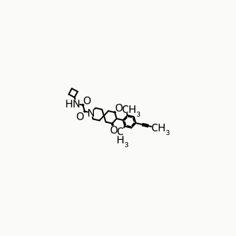 CC#Cc1cc(C)c(C2C(=O)CC3(CCN(C(=O)C(=O)NC4CCC4)CC3)CC2=O)c(C)c1